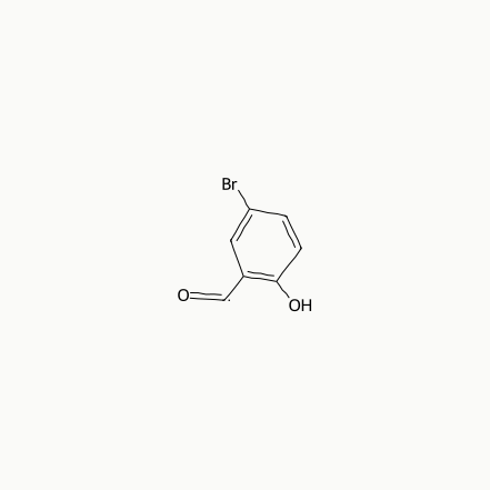 O=[C]c1cc(Br)ccc1O